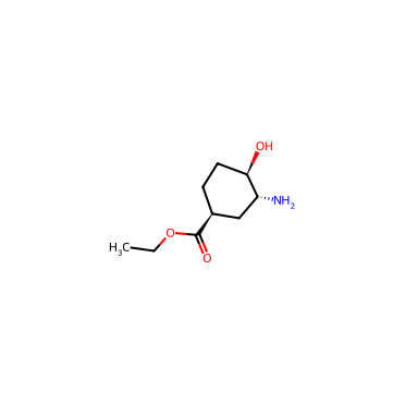 CCOC(=O)[C@H]1CC[C@@H](O)[C@H](N)C1